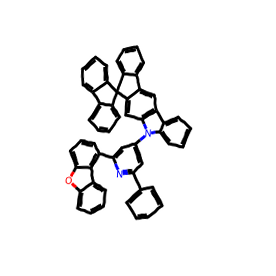 c1ccc(-c2cc(-n3c4ccccc4c4cc5c(cc43)C3(c4ccccc4-c4ccccc43)c3ccccc3-5)cc(-c3cccc4oc5ccccc5c34)n2)cc1